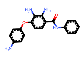 Nc1ccc(Oc2ccc(C(=O)Nc3ccccc3)c(N)c2N)cc1